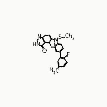 CCSNC1CCc2nc[nH]c(=O)c2C1Cc1cccc(-c2cc(C)ccc2F)c1